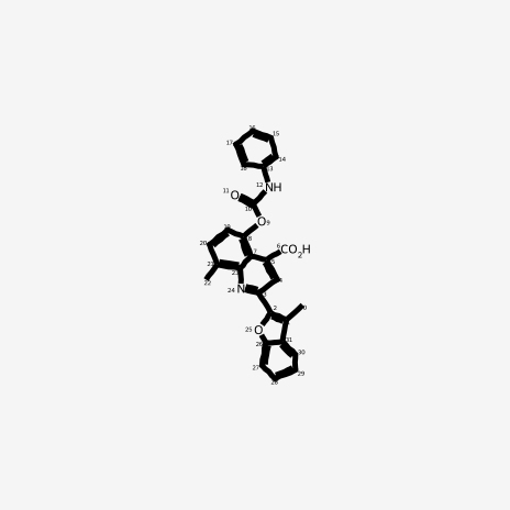 Cc1c(-c2cc(C(=O)O)c3c(OC(=O)Nc4ccccc4)ccc(C)c3n2)oc2ccccc12